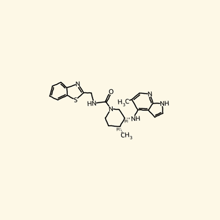 Cc1cnc2[nH]ccc2c1N[C@H]1CN(C(=O)NCc2nc3ccccc3s2)CC[C@H]1C